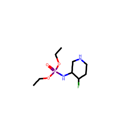 CCOP(=O)(NC1CNCCC1F)OCC